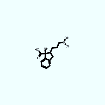 NC1(C(=O)O)c2cccnc2CC1CCCB(O)O